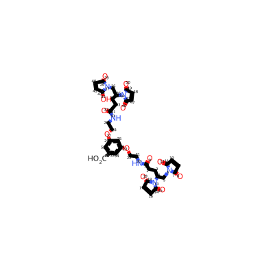 O=C(CCC(CN1C(=O)C=CC1=O)N1C(=O)C=CC1=O)NCCOc1cc(OCCNC(=O)CCC(CN2C(=O)C=CC2O)N2C(=O)C=CC2=O)cc(C(=O)O)c1